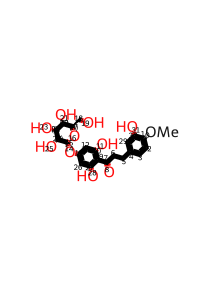 COc1ccc(CCC(=O)c2c(O)cc(OC3O[C@H](CO)[C@@H](O)[C@H](O)[C@H]3O)cc2O)cc1O